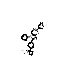 NC1(c2ccc(-c3nc4nc(-c5cn[nH]c5)ncc4n3-c3ccccc3)cc2)CCC1